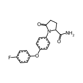 NC(=O)C1CCC(=O)N1c1ccc(Oc2ccc(F)cc2)cc1